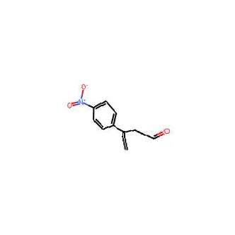 C=C(CC=O)c1ccc([N+](=O)[O-])cc1